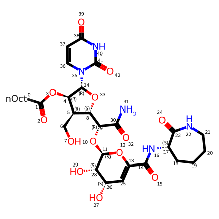 CCCCCCCCC(=O)O[C@@H]1[C@H](CO)[C@@H]([C@@H](O[C@H]2OC(C(=O)N[C@H]3CCCCNC3=O)=C[C@H](O)[C@@H]2O)C(N)=O)O[C@H]1n1ccc(=O)[nH]c1=O